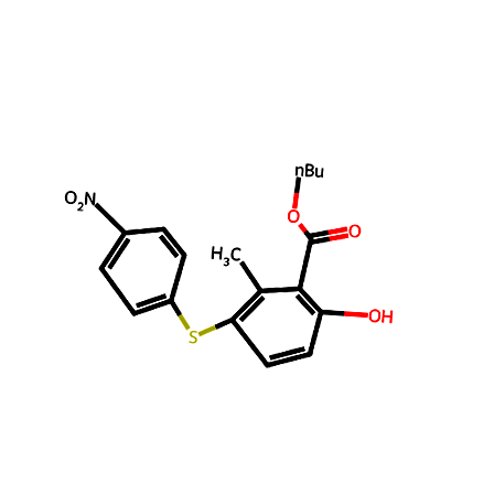 CCCCOC(=O)c1c(O)ccc(Sc2ccc([N+](=O)[O-])cc2)c1C